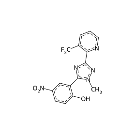 Cn1nc(-c2ncccc2C(F)(F)F)nc1-c1cc([N+](=O)[O-])ccc1O